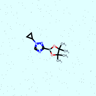 CC1(C)OB(c2ncn(C3CC3)n2)OC1(C)C